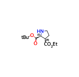 CCOC(=O)[C@@H]1CCN[C@@H]1C(=O)OC(C)(C)C